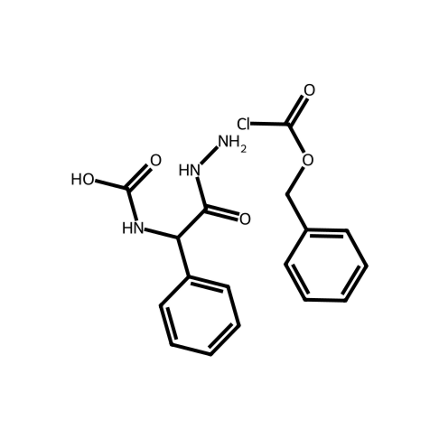 NNC(=O)C(NC(=O)O)c1ccccc1.O=C(Cl)OCc1ccccc1